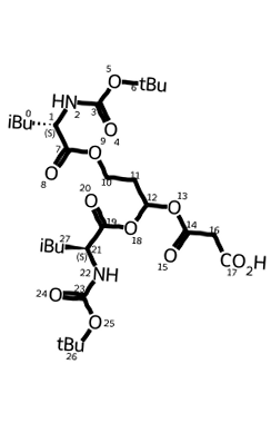 CCC(C)[C@H](NC(=O)OC(C)(C)C)C(=O)OCCC(OC(=O)CC(=O)O)OC(=O)[C@@H](NC(=O)OC(C)(C)C)C(C)CC